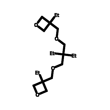 CCC(CC)(COCC1(CC)COC1)COCC1(CC)COC1